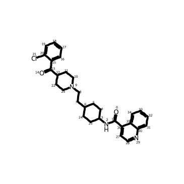 O=C(NC1CCC(CCN2CCC(C(=O)c3ccccc3Cl)CC2)CC1)c1ccnc2ccccc12